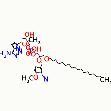 CCCCCCCCCCCCCCCCCCOC[C@H](COP(=O)(O)OC[C@@]1(C)O[C@@H](c2ccc3c(N)ncnn23)C[C@@H]1O)OCc1ccc(OC)c(C#N)c1